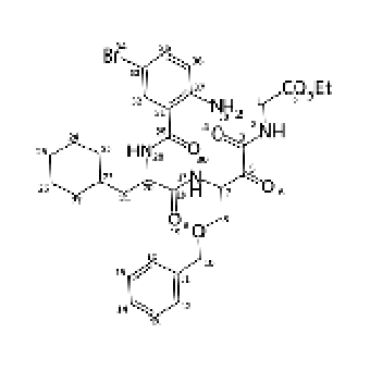 CCOC(=O)CNC(=O)C(=O)C(COCc1ccccc1)NC(=O)C(CC1CCCCC1)NC(=O)c1cc(Br)ccc1N